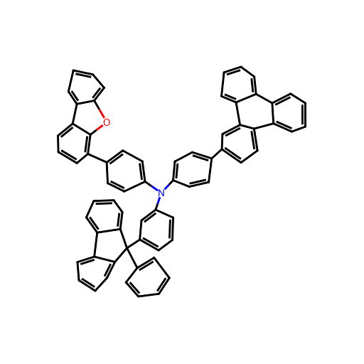 c1ccc(C2(c3cccc(N(c4ccc(-c5ccc6c7ccccc7c7ccccc7c6c5)cc4)c4ccc(-c5cccc6c5oc5ccccc56)cc4)c3)c3ccccc3-c3ccccc32)cc1